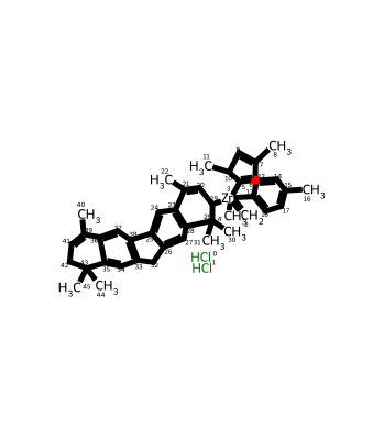 Cl.Cl.[CH2]=[Zr]([CH3])([C]1=CC(C)=CC1C)([c]1ccc(C)cc1)[CH]1C=C(C)c2cc3c(cc2C1(C)C)Cc1cc2c(cc1-3)C(C)=CCC2(C)C